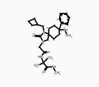 CNC(=O)C(C)(C)NC(=O)CN1CC2(CCC(NC)(c3ccccc3)CC2)N(CC2CCC2)C1=O